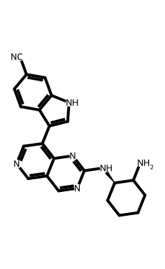 N#Cc1ccc2c(-c3cncc4cnc(N[C@@H]5CCCCC5N)nc34)c[nH]c2c1